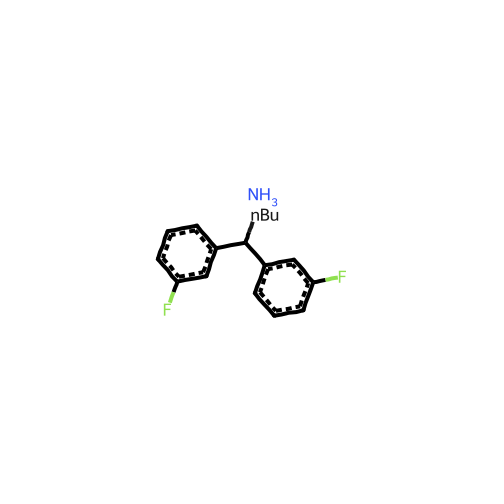 CCCCC(c1cccc(F)c1)c1cccc(F)c1.N